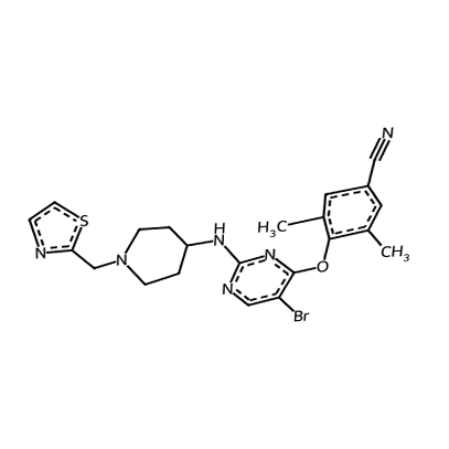 Cc1cc(C#N)cc(C)c1Oc1nc(NC2CCN(Cc3nccs3)CC2)ncc1Br